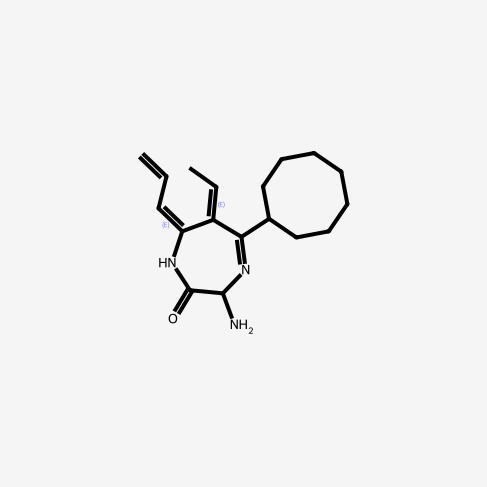 C=C/C=C1/NC(=O)C(N)N=C(C2CCCCCCC2)/C1=C/C